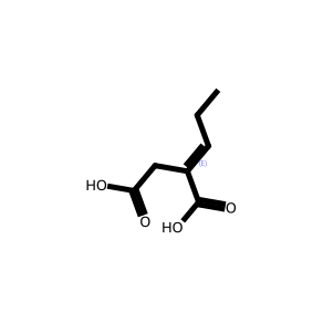 CC/C=C(\CC(=O)O)C(=O)O